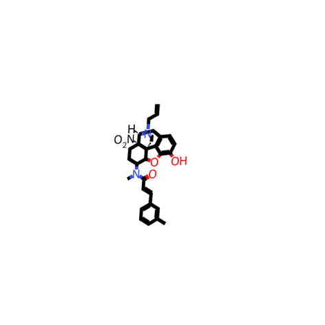 C=CCN1CC[C@]23c4c5ccc(O)c4OC2C(N(C)C(=O)/C=C/c2cccc(C)c2)CC[C@@]3([N+](=O)[O-])[C@H]1C5